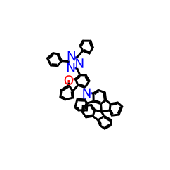 c1ccc(-c2nc(-c3ccccc3)nc(-c3ccc(-n4c5ccccc5c5c6c(ccc54)-c4ccccc4C64c5ccccc5-c5ccccc54)c4c3oc3ccccc34)n2)cc1